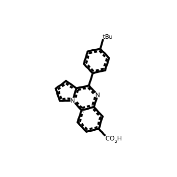 CC(C)(C)c1ccc(-c2nc3cc(C(=O)O)ccc3n3cccc23)cc1